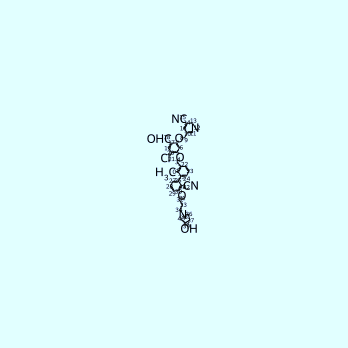 Cc1c(COc2cc(OCc3cncc(C#N)c3)c(C=O)cc2Cl)cccc1-c1cccc(OCCCN2CCC(O)C2)c1C#N